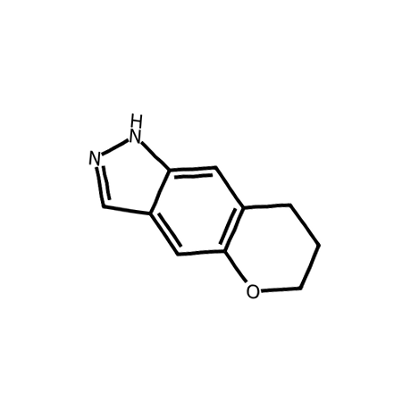 c1n[nH]c2cc3c(cc12)OCCC3